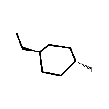 CC[C@H]1CC[C@H](I)CC1